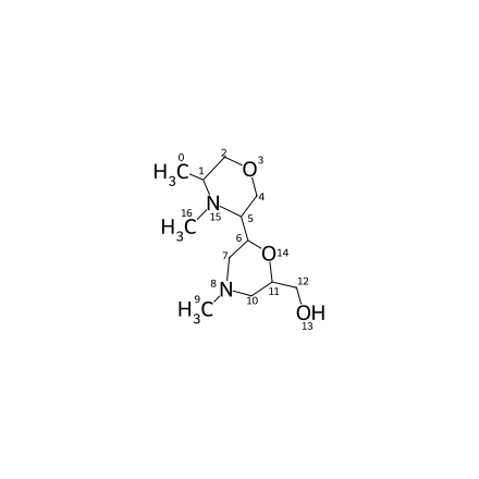 CC1COCC(C2CN(C)CC(CO)O2)N1C